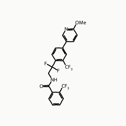 COc1ccc(-c2ccc(C(F)(F)CNC(=O)c3ccccc3C(F)(F)F)c(C(F)(F)F)c2)cn1